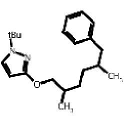 CC(CCC(C)Cc1ccccc1)COc1ccn(C(C)(C)C)n1